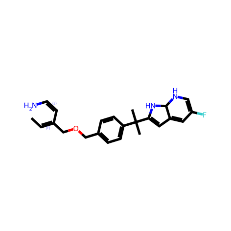 C/C=C(\C=C/N)COCc1ccc(C(C)(C)C2=CC3=CC(F)=CNC3N2)cc1